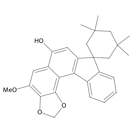 COc1cc2c(O)cc3c(c2c2c1OCO2)-c1ccccc1C31CC(C)(C)CC(C)(C)C1